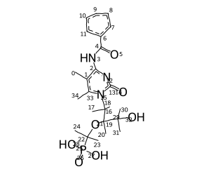 Cc1c(NC(=O)c2ccccc2)nc(=O)n(C(C)(C)C(C)(OC(C)(C)P(=O)(O)O)C(C)(C)O)c1C